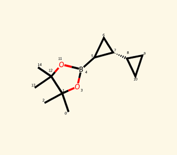 CC1(C)OB(C2C[C@@H]2C2CC2)OC1(C)C